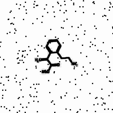 C=C(C(=O)OC)c1ccccc1CCN